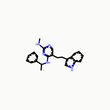 CNc1ncc(CCc2c[nH]c3ccccc23)c(NC(C)c2ccccc2)n1